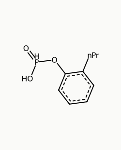 CCCc1ccccc1O[PH](=O)O